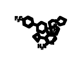 Nc1ncnc([N+]2(C3(CCN4CCCC4)NC=CN3)CCC(c3ccc(C(F)(F)F)cc3)CC2)c1C1CCC1